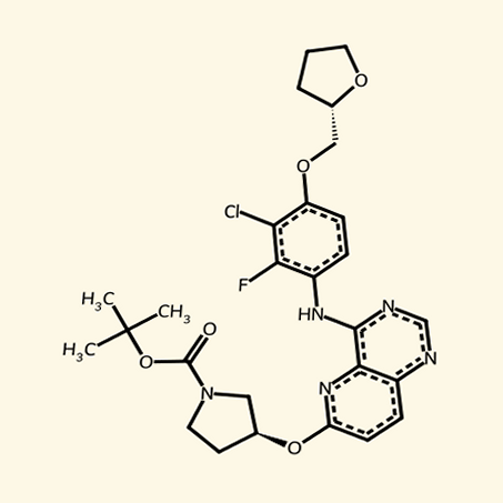 CC(C)(C)OC(=O)N1CC[C@H](Oc2ccc3ncnc(Nc4ccc(OC[C@@H]5CCCO5)c(Cl)c4F)c3n2)C1